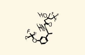 CC(NC(=O)CC(C)(O)CC(F)(F)F)c1cccc(OC(F)(F)F)c1